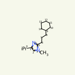 CC(C)c1cn(C)c(CCCC2CCCCC2)n1